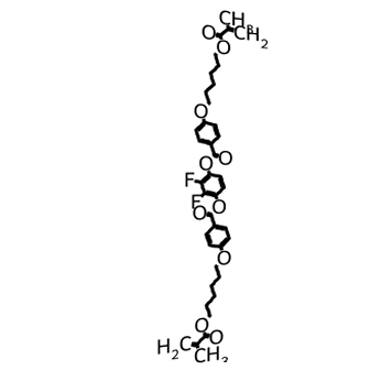 C=C(C)C(=O)OCCCCCCOc1ccc(C(=O)Oc2ccc(OC(=O)c3ccc(OCCCCCCOC(=O)C(=C)C)cc3)c(F)c2F)cc1